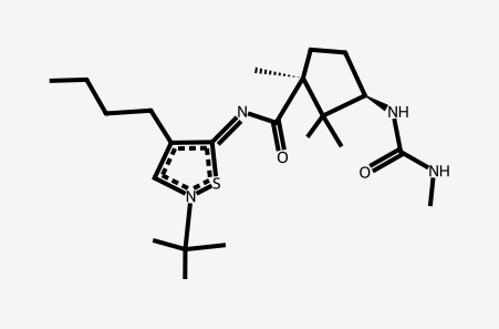 CCCCc1cn(C(C)(C)C)s/c1=N\C(=O)[C@@]1(C)CC[C@@H](NC(=O)NC)C1(C)C